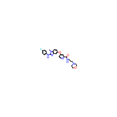 Cn1c(Nc2ccc(F)cc2)nc2cc(Oc3ccnc(C(=O)NCCCN4CCOCC4)c3)ccc21